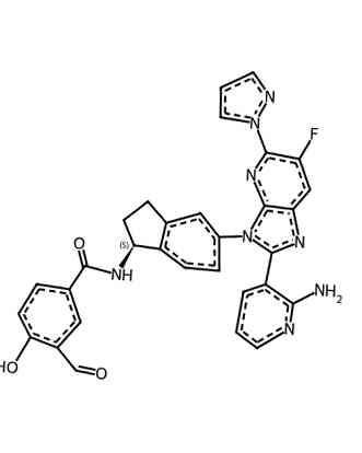 Nc1ncccc1-c1nc2cc(F)c(-n3cccn3)nc2n1-c1ccc2c(c1)CC[C@@H]2NC(=O)c1ccc(O)c(C=O)c1